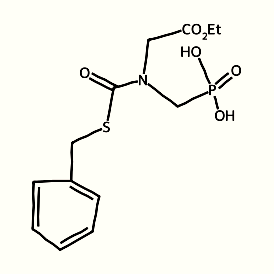 CCOC(=O)CN(CP(=O)(O)O)C(=O)SCc1ccccc1